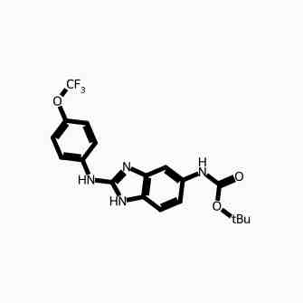 CC(C)(C)OC(=O)Nc1ccc2[nH]c(Nc3ccc(OC(F)(F)F)cc3)nc2c1